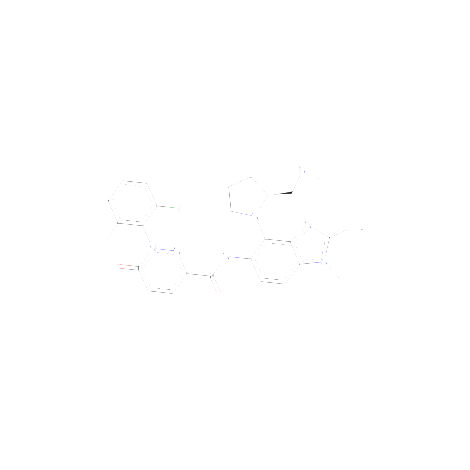 Cn1c(C(C)(C)C)nc2c(N3CCC[C@H]3CN)c(NC(=O)c3ccc(=O)n(-c4c(F)cccc4F)n3)ccc21